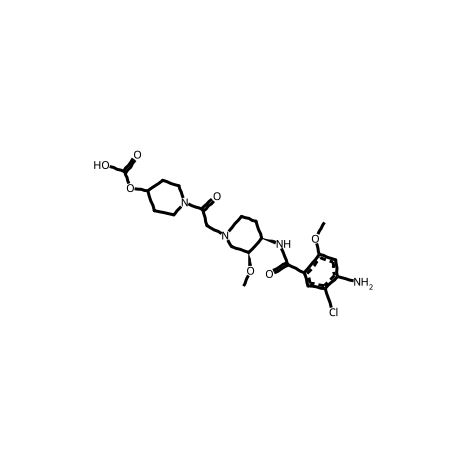 COc1cc(N)c(Cl)cc1C(=O)N[C@@H]1CCN(CC(=O)N2CCC(OC(=O)O)CC2)C[C@@H]1OC